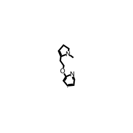 CN1CCC=C1CCOc1c[c]ccn1